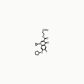 COCCOC(=O)c1cn(C2CC2)c2cc(OC3CCCC3)c(F)cc2c1=O